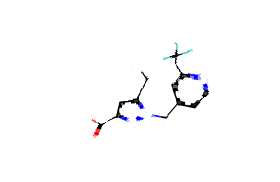 CCc1cc(C(=O)O)nn1Cc1ccnc(C(F)(F)F)c1